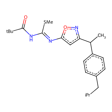 CS/C(=N\c1cc(C(C)c2ccc(CC(C)C)cc2)no1)NC(=O)C(C)(C)C